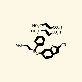 CNCC[C@H](Oc1ccc2cc(C#N)sc2c1)c1ccccc1.O=C(O)C=CC(=O)O.O=C(O)C=CC(=O)O